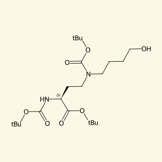 CC(C)(C)OC(=O)N[C@@H](CCN(CCCCO)C(=O)OC(C)(C)C)C(=O)OC(C)(C)C